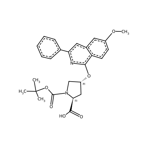 COc1ccc2c(O[C@@H]3C[C@@H](C(=O)O)N(C(=O)OC(C)(C)C)C3)nc(-c3ccccc3)cc2c1